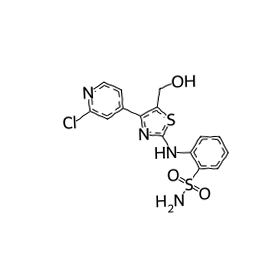 NS(=O)(=O)c1ccccc1Nc1nc(-c2ccnc(Cl)c2)c(CO)s1